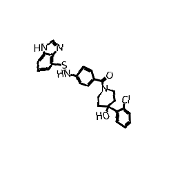 O=C(c1ccc(NSc2cccc3[nH]cnc23)cc1)N1CCC(O)(c2ccccc2Cl)CC1